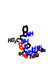 CCCC[C@H](NC(=O)[C@@H](N)CCCC)C(=O)N[C@@H](CC(C)C)C(=O)N1CCC[C@H]1C(=O)N[C@@H](Cc1c[nH]c2ccccc12)C(=O)O